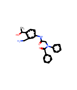 CC(O)c1ccc(NC(=O)CN(C(=O)c2ccccc2)c2ccccc2)cc1CN